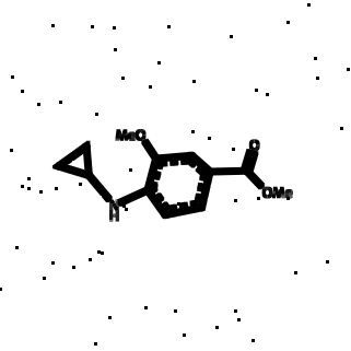 COC(=O)c1ccc(NC2CC2)c(OC)c1